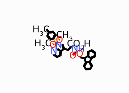 Cc1cc(C)c(S(=O)(=O)n2cc(C[C@H](NC(=O)OCC3c4ccccc4-c4ccccc43)C(=O)O)c3cccnc32)c(C)c1